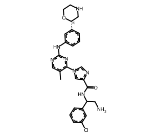 Cc1cnc(Nc2cccc([C@H]3CNCCO3)c2)nc1-n1cnc(C(=O)NC(CN)c2cccc(Cl)c2)c1